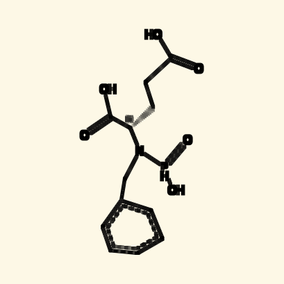 O=C(O)CC[C@@H](C(=O)O)N(Cc1ccccc1)[PH](=O)O